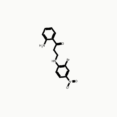 Nc1ccccc1C(=O)CCNc1ccc([N+](=O)[O-])cc1Br